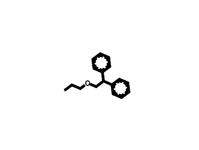 CCCOCC(c1ccccc1)c1ccccc1